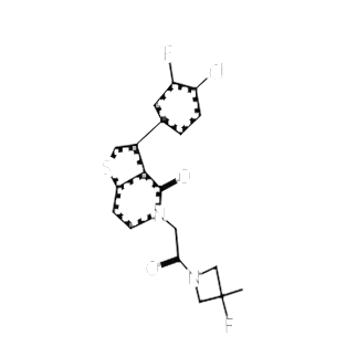 CC1(F)CN(C(=O)Cn2ccc3scc(-c4ccc(Cl)c(F)c4)c3c2=O)C1